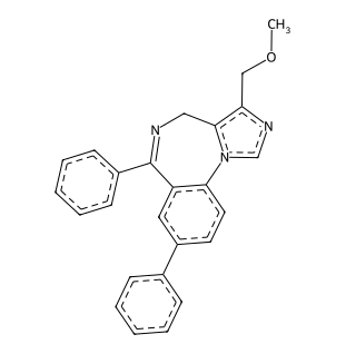 COCc1ncn2c1CN=C(c1ccccc1)c1cc(-c3ccccc3)ccc1-2